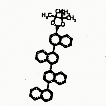 CC1(C)OB(c2ccc(-c3ccc(-c4ccc(-c5cccc6ccccc56)c5ccccc45)c4ccccc34)c3ccccc23)OC1(C)C